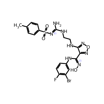 Cc1ccc(S(=O)(=O)/N=C(\N)NCCNc2nonc2/C(=N/O)Nc2ccc(F)c(Br)c2)cc1